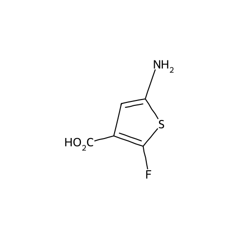 Nc1cc(C(=O)O)c(F)s1